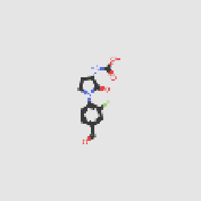 O=Cc1ccc(N2CC[C@H](NC(=O)O)C2=O)c(F)c1